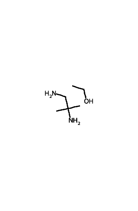 CC(C)(N)CN.CCO